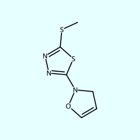 CSc1nnc(N2CC=CO2)s1